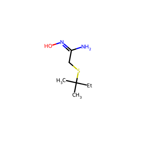 CCC(C)(C)SC/C(N)=N\O